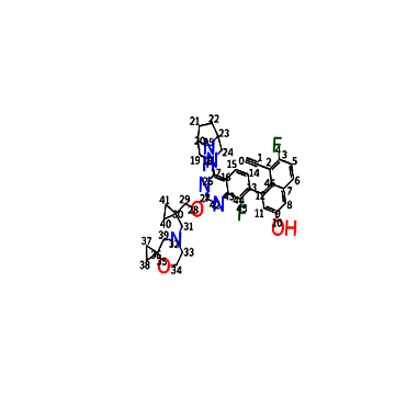 C#Cc1c(F)ccc2cc(O)cc(-c3ccc4c(N5CC6CCC(C5)N6)nc(OCC5(CN6CCOC7(CC7)C6)CC5)nc4c3F)c12